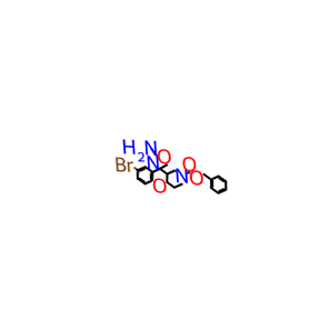 NC1=NC2(CO1)c1cc(Br)ccc1OC1CCN(C(=O)OCc3ccccc3)CC12